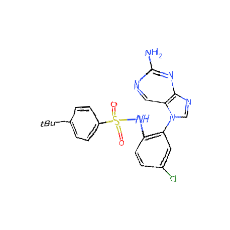 CC(C)(C)c1ccc(S(=O)(=O)Nc2ccc(Cl)cc2-n2cnc3nc(N)ncc32)cc1